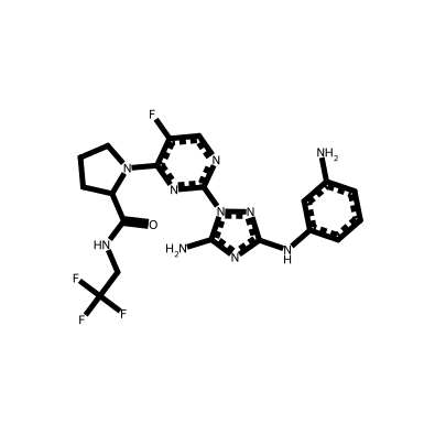 Nc1cccc(Nc2nc(N)n(-c3ncc(F)c(N4CCCC4C(=O)NCC(F)(F)F)n3)n2)c1